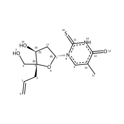 C=CC[C@]1(CO)O[C@@H](n2cc(C)c(=O)[nH]c2=S)C[C@@H]1O